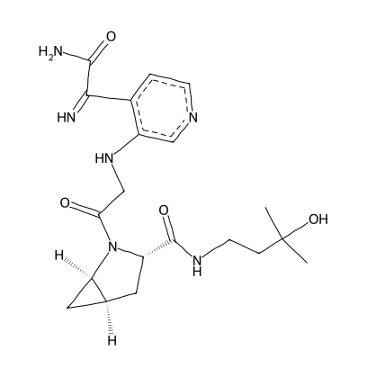 CC(C)(O)CCNC(=O)[C@@H]1C[C@H]2C[C@H]2N1C(=O)CNc1cnccc1C(=N)C(N)=O